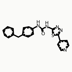 O=C(Nc1ccc(Cc2ccccc2)cc1)Nc1nnc(-c2ccncc2)s1